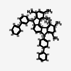 Bc1cc(B)c2c(c1B)c1c3c4c(B)c(B)cc(B)c4n(-c4cccc(-c5ccccc5)c4)c3ccc1n2-c1ccc(-c2ccccc2)cc1